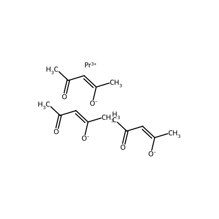 CC(=O)/C=C(/C)[O-].CC(=O)/C=C(/C)[O-].CC(=O)/C=C(/C)[O-].[Pr+3]